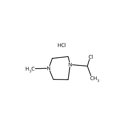 CC(Cl)N1CCN(C)CC1.Cl